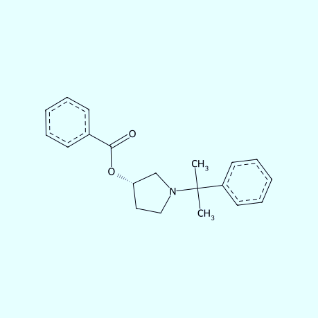 CC(C)(c1ccccc1)N1CC[C@H](OC(=O)c2ccccc2)C1